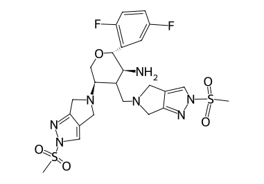 CS(=O)(=O)n1cc2c(n1)CN(CC1[C@H](N)[C@@H](c3cc(F)ccc3F)OC[C@@H]1N1Cc3cn(S(C)(=O)=O)nc3C1)C2